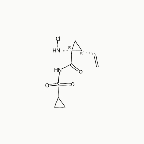 C=C[C@H]1C[C@]1(NCl)C(=O)NS(=O)(=O)C1CC1